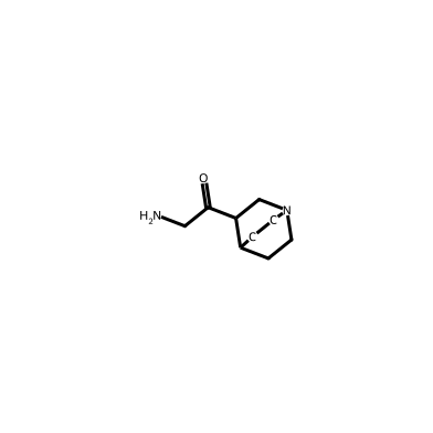 NCC(=O)C1CN2CCC1CC2